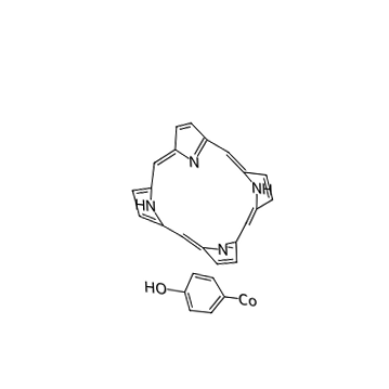 C1=Cc2cc3ccc(cc4nc(cc5ccc(cc1n2)[nH]5)C=C4)[nH]3.Oc1cc[c]([Co])cc1